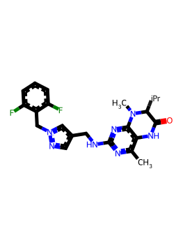 Cc1nc(NCc2cnn(Cc3c(F)cccc3F)c2)nc2c1NC(=O)C(C(C)C)N2C